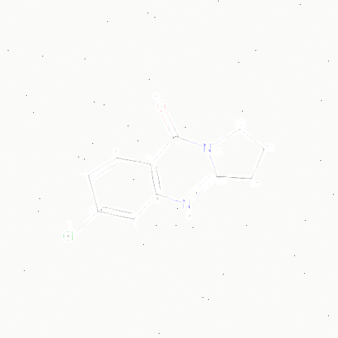 O=c1c2ccc(Cl)cc2nc2n1CCC2